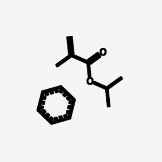 C=C(C)C(=O)OC(C)C.c1ccccc1